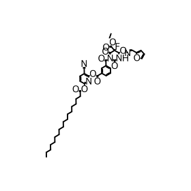 CCCCCCCCCCCCCCCCCC(=O)Oc1ccc(C#N)c(OC(=O)c2cccc(C(=O)N3C(=O)NC(O/N=C/c4ccco4)C(F)(C(=O)OCC)C3=O)c2)n1